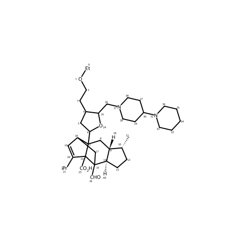 CCOCCC1CC(C23C[C@@H]4[C@H](C)CC[C@H]4C4(C=O)CC2C=C(C(C)C)C34C(=O)O)OC1CN1CCC(N2CCCCC2)CC1